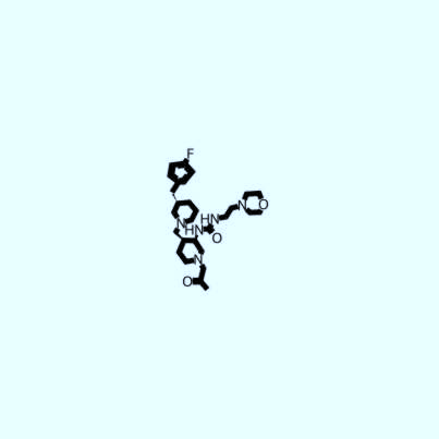 CC(=O)CN1CC[C@@H](CN2CCC[C@@H](Cc3ccc(F)cc3)C2)[C@@H](NC(=O)NCCN2CCOCC2)C1